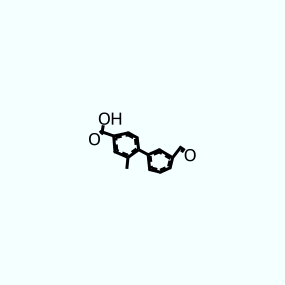 Cc1cc(C(=O)O)ccc1-c1cccc(C=O)c1